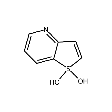 OS1(O)C=Cc2ncccc21